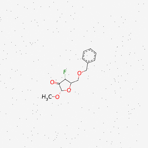 CO[C@H]1OC(COCc2ccccc2)[C@@H](F)C1=O